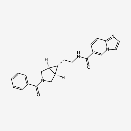 O=C(NCC[C@@H]1[C@H]2CN(C(=O)c3ccccc3)C[C@@H]12)c1ccc2nccn2c1